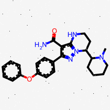 CN1CCCCC1C1CCNc2c(C(N)=O)c(-c3ccc(Oc4ccccc4)cc3)nn21